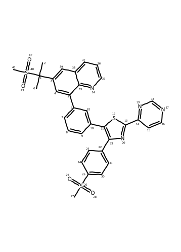 CC(C)(c1cc(-c2cccc(-c3sc(-c4ccncn4)nc3-c3ccc(S(C)(=O)=O)cc3)c2)c2ncccc2c1)S(C)(=O)=O